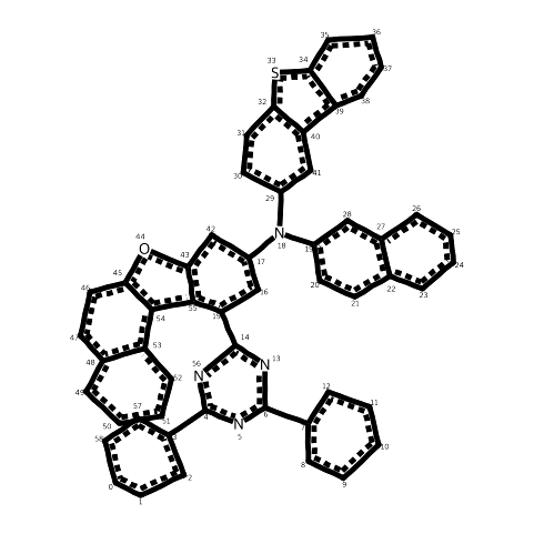 c1ccc(-c2nc(-c3ccccc3)nc(-c3cc(N(c4ccc5ccccc5c4)c4ccc5sc6ccccc6c5c4)cc4oc5ccc6ccccc6c5c34)n2)cc1